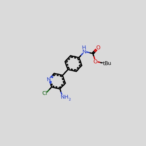 CC(C)(C)OC(=O)Nc1ccc(-c2cnc(Cl)c(N)c2)cc1